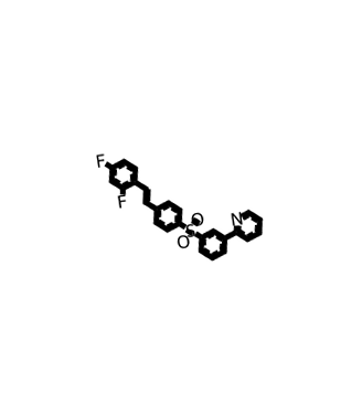 O=S(=O)(c1ccc(/C=C/c2ccc(F)cc2F)cc1)c1cccc(-c2ccccn2)c1